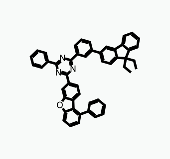 CCC1(CC)c2ccccc2-c2cc(-c3cccc(-c4nc(-c5ccccc5)nc(-c5ccc6c(c5)oc5cccc(-c7ccccc7)c56)n4)c3)ccc21